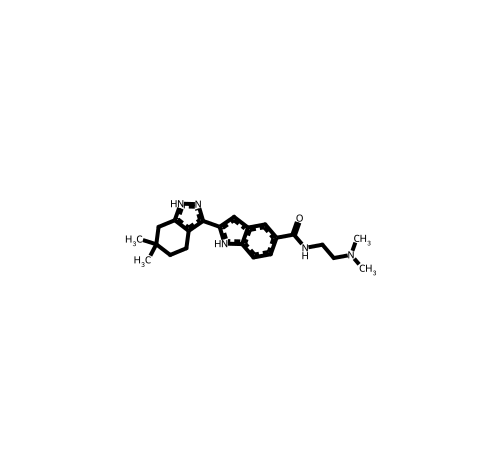 CN(C)CCNC(=O)c1ccc2[nH]c(-c3n[nH]c4c3CCC(C)(C)C4)cc2c1